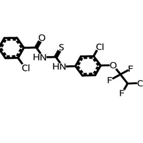 O=C(NC(=S)Nc1ccc(OC(F)(F)C(F)Cl)c(Cl)c1)c1ccccc1Cl